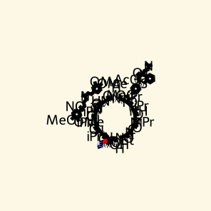 C/C=C/C[C@@H](C)[C@@H](O)[C@H]1C(=O)N[C@@H](CC)C(=O)N(C)CC(=O)N(C)[C@@H](CC(C)C)C(=O)N[C@@H](C(C)C)C(=O)N(C)[C@@H](CC(C)C)C(=O)N[C@@H](C)C(=O)N[C@H](C)C(=O)N(C)[C@@H](CC(C)C)C(=O)N(C)[C@@H](CC(C)C)C(=O)N(C)[C@@H](C(C)C)C(=O)N1C.COc1ccc(CCN(C)CCCC(C#N)(c2ccc(OC)c(OC)c2)C(C)C)cc1OC.COc1ccc([C@@H]2Sc3ccccc3N(CCN(C)C)C(=O)[C@@H]2OC(C)=O)cc1